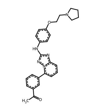 CC(=O)c1cccc(-c2cccc3nc(Nc4ccc(OCCN5CCCC5)cc4)nn23)c1